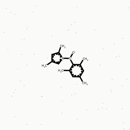 Cc1cc(C)c([S+]([O-])n2cc(C)cc2C)c(C)c1